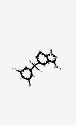 Nc1n[nH]c2ccc(C(F)(F)c3cc(F)cc(F)c3)cc12